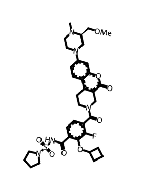 COC[C@H]1CN(c2ccc3c4c(c(=O)oc3c2)CN(C(=O)c2ccc(C(=O)NS(=O)(=O)N3CCCC3)c(OC3CCC3)c2F)CC4)CCN1C